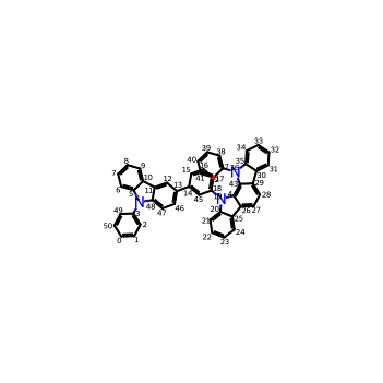 c1ccc(-n2c3ccccc3c3cc(-c4cccc(-n5c6ccccc6c6ccc7c8ccccc8n(-c8ccccc8)c7c65)c4)ccc32)cc1